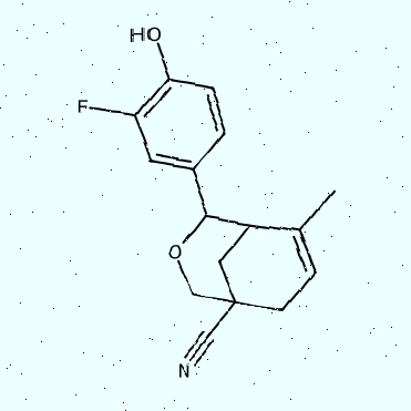 CC1=CCC2(C#N)COC(c3ccc(O)c(F)c3)C1C2